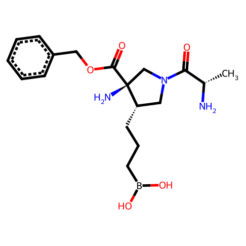 C[C@H](N)C(=O)N1C[C@H](CCCB(O)O)[C@](N)(C(=O)OCc2ccccc2)C1